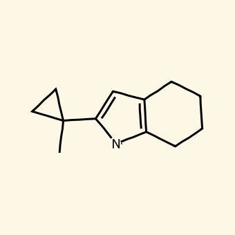 CC1(C2=CC3=C(CCCC3)[N]2)CC1